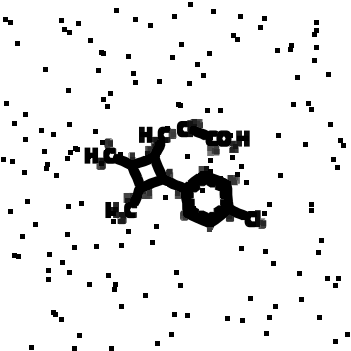 CC1C(C)C(c2ccc(Cl)cc2)C1C.O=C(O)Cl